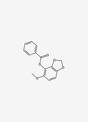 COc1ccc2c(c1OC(=O)c1ccccc1)OCO2